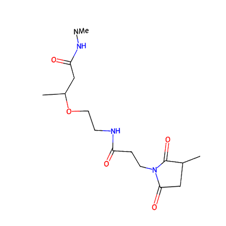 CNNC(=O)CC(C)OCCNC(=O)CCN1C(=O)CC(C)C1=O